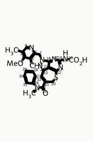 COc1c(C)cnc(Cn2nc3c4c(nc(NC(=O)O)nc42)SCC(C(=O)N(C)c2ccccc2)=C3)c1C